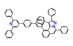 c1ccc(-c2cc(-c3ccc(-c4cccc(-c5cccc6cc(-c7ccccc7)n7nc(-c8ccccc8)c(-c8ccccc8)c7c56)c4)cc3)cc(-c3ccccc3)n2)cc1